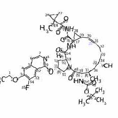 CCOc1cc2ccnc(O[C@@H]3C[C@H]4C(=O)N[C@]5(C(=O)NS(=O)(=O)C6(C)CC6)CC5/C=C\CC[C@H](C)C[C@@H](C)[C@H](NC(=O)OC(C)(C)C)C(=O)N4C3)c2cc1F